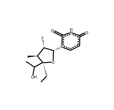 CC[C@@]1(C(C)O)O[C@@H](n2ccc(=O)[nH]c2=O)[C@@H](F)[C@@H]1C